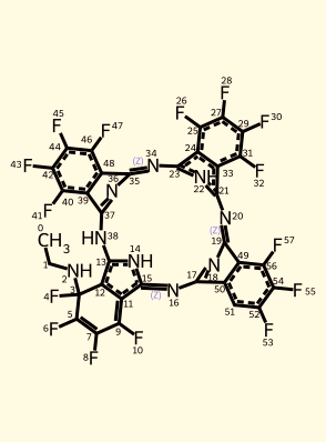 CCNC1(F)C(F)=C(F)C(F)=c2c1c1[nH]/c2=N\C2=NC(=N\c3[nH]c(c4c(F)c(F)c(F)c(F)c34)/N=C3\N=C(N1)c1c(F)c(F)c(F)c(F)c13)/c1c2cc(F)c(F)c1F